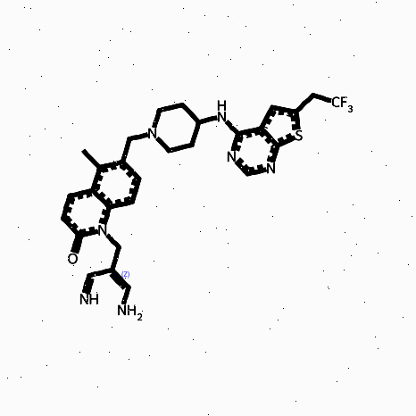 Cc1c(CN2CCC(Nc3ncnc4sc(CC(F)(F)F)cc34)CC2)ccc2c1ccc(=O)n2C/C(C=N)=C/N